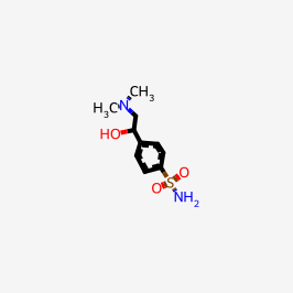 CN(C)CC(O)c1ccc(S(N)(=O)=O)cc1